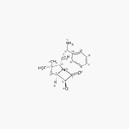 CC1(C)S[C@@H]2[C@H](Cl)C(=O)N2[C@H]1C(=O)O.NCc1ccccc1